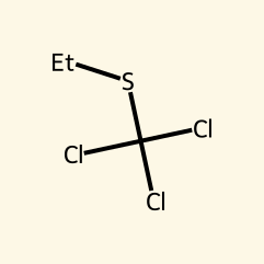 CCSC(Cl)(Cl)Cl